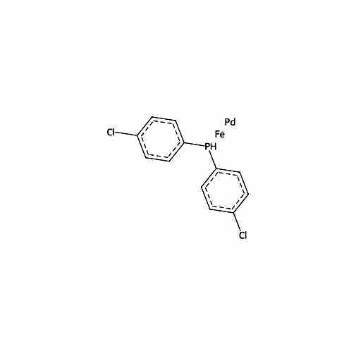 Clc1ccc(Pc2ccc(Cl)cc2)cc1.[Fe].[Pd]